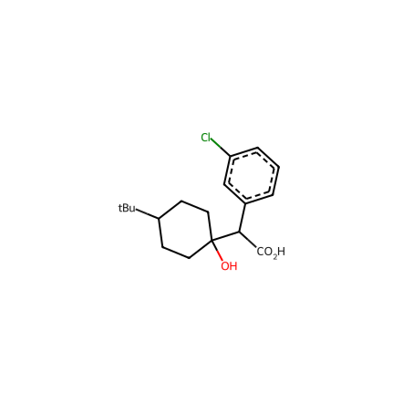 CC(C)(C)C1CCC(O)(C(C(=O)O)c2cccc(Cl)c2)CC1